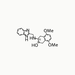 COc1ccc(OC)c2c1C[C@H](NCc1nc3ccccc3[nH]1)[C@@H](O)C2